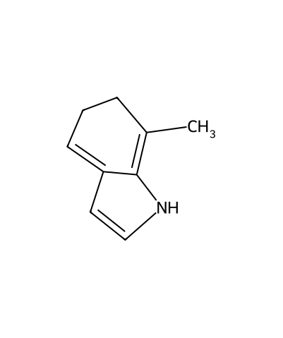 CC1=c2[nH]ccc2=CCC1